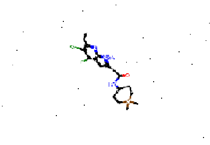 Cc1nc2[nH]c(C(=O)NC3CCS(C)(C)CC3)cc2c(F)c1Cl